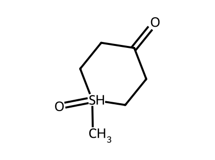 C[SH]1(=O)CCC(=O)CC1